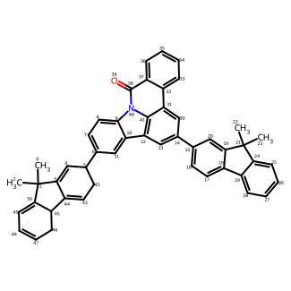 CC1(C)C2=CC(c3ccc4c(c3)c3cc(-c5ccc6c(c5)C(C)(C)c5ccccc5-6)cc5c6ccccc6c(=O)n4c53)CC=C2C2CC=CC=C21